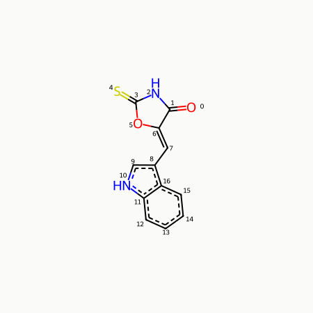 O=C1NC(=S)O/C1=C\c1c[nH]c2ccccc12